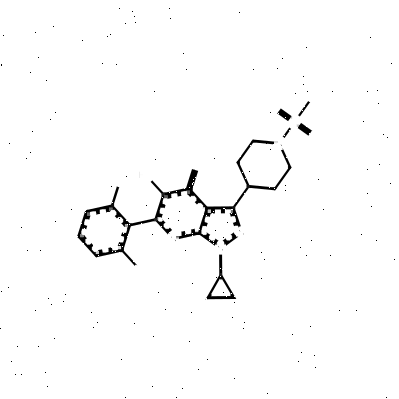 CS(=O)(=O)N1CCC(c2nn(C3CC3)c3[nH]c(-c4c(F)cccc4F)c(O)c(=O)c23)CC1